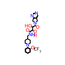 O=C(NCC1CCN(c2ccccc2OC(F)(F)F)CC1)[C@H](O)[C@@H](O)C(=O)N1Cc2cncnc2C1